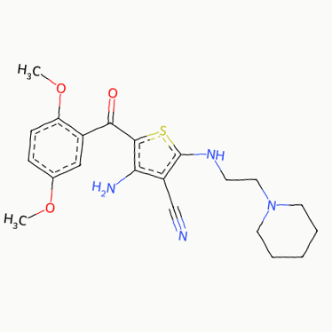 COc1ccc(OC)c(C(=O)c2sc(NCCN3CCCCC3)c(C#N)c2N)c1